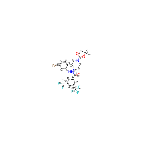 CC(C)(C)OC(=O)N1CCC(NC(=O)c2cc(C(F)(F)F)cc(C(F)(F)F)c2)C(c2ccc(Br)cc2)C1